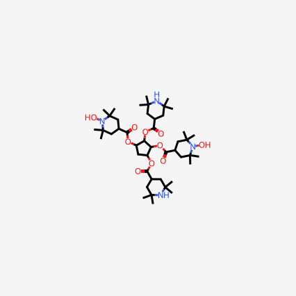 CC1(C)CC(C(=O)OC2CC(OC(=O)C3CC(C)(C)N(O)C(C)(C)C3)C(OC(=O)C3CC(C)(C)NC(C)(C)C3)C2OC(=O)C2CC(C)(C)N(O)C(C)(C)C2)CC(C)(C)N1